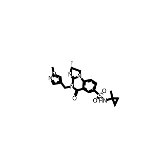 C[C@@H]1CN2C(=N1)N(Cc1cnn(C)c1)C(=O)c1cc(S(=O)(=O)NC3(C)CC3)ccc12